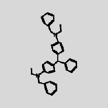 CCN(Cc1ccccc1)c1ccc(C(c2ccccc2)c2ccc(N(CC)Cc3ccccc3)cc2)cc1